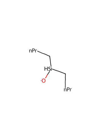 CCCC[SiH]([O])CCCC